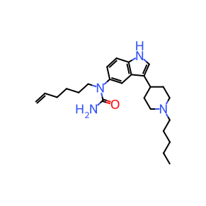 C=CCCCCN(C(N)=O)c1ccc2[nH]cc(C3CCN(CCCCC)CC3)c2c1